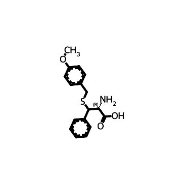 COc1ccc(CSC(c2ccccc2)[C@H](N)C(=O)O)cc1